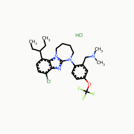 CCC(CC)c1ccc(Cl)c2nc3n(c12)CCCCN3c1ccc(OC(F)(F)F)cc1CN(C)C.Cl